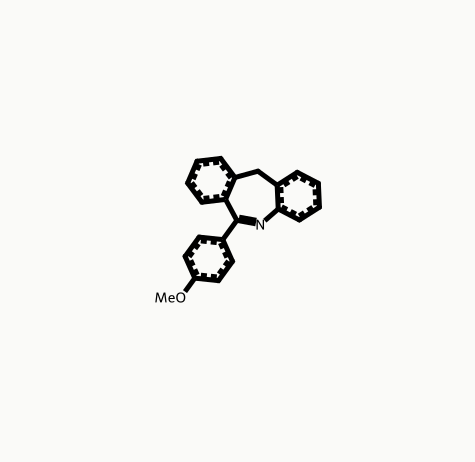 COc1ccc(C2=Nc3ccccc3Cc3ccccc32)cc1